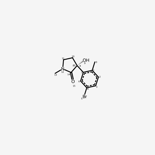 Cc1ccc(Br)cc1[C@]1(O)CCN(C)C1=O